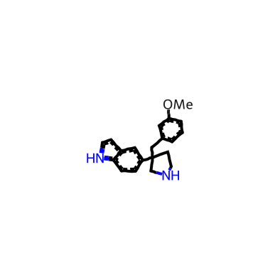 COc1cccc(CC2(c3ccc4[nH]ccc4c3)CCNC2)c1